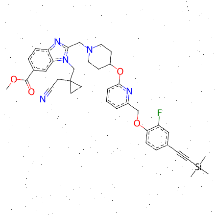 COC(=O)c1ccc2nc(CN3CCC(Oc4cccc(COc5ccc(C#C[Si](C)(C)C)cc5F)n4)CC3)n(CC3(CC#N)CC3)c2c1